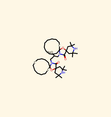 COC(CN1C(=O)C2(CC(C)(C)NC(C)(C)C2)OC12CCCCCCCCCCC2)CN1C(=O)C2(CC(C)(C)NC(C)(C)C2)OC12CCCCCCCCCCC2